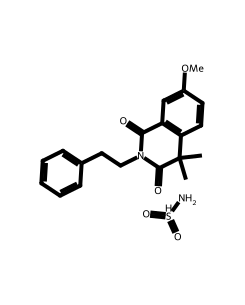 COc1ccc2c(c1)C(=O)N(CCc1ccccc1)C(=O)C2(C)C.N[SH](=O)=O